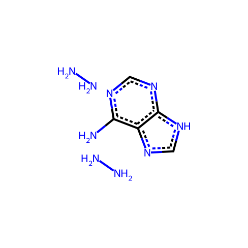 NN.NN.Nc1ncnc2[nH]cnc12